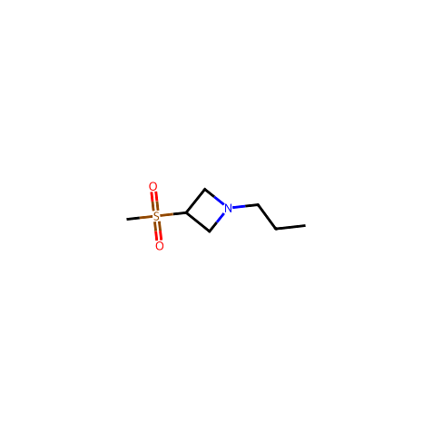 CCCN1CC(S(C)(=O)=O)C1